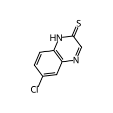 S=c1cnc2cc(Cl)ccc2[nH]1